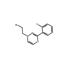 Fc1ccccc1C1=NN(CCBr)C=CO1